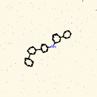 c1ccc(-c2cccc(Nc3ccc(-c4cccc(-c5ccccc5)c4)cc3)c2)cc1